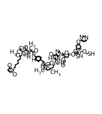 CC(C)C(NC(=O)CCCCCN1C(=O)C=CC1=O)C(=O)N[C@@H](C)C(=O)Nc1ccc(COC(=O)N(C)CC(C)(C)CC(=O)Nc2nc3c(ncn3[C@@H]3O[C@H](COP(=O)(S)O[C@H]4C[C@H](Oc5ccncn5)C[C@@H]4COCS)C[C@H]3OP=O)c(=O)[nH]2)cc1